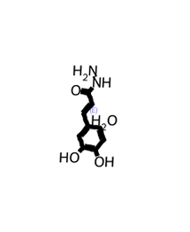 NNC(=O)/C=C/c1ccc(O)c(O)c1.O